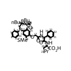 CCCCC1(CCCC)CN(c2ccccc2)c2cc(SC)c(OCC(=O)N[C@@H](C(=O)N[C@@H](CC(C)C)C(=O)O)c3ccccc3)cc2S(=O)(=O)N1